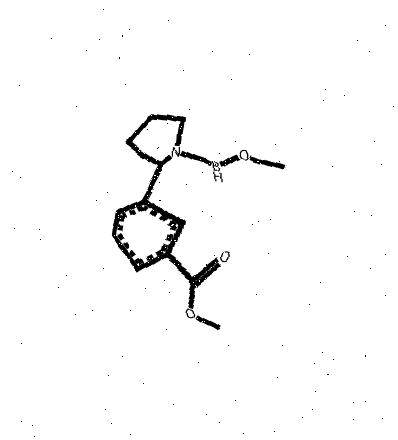 COBN1CCCC1c1cccc(C(=O)OC)c1